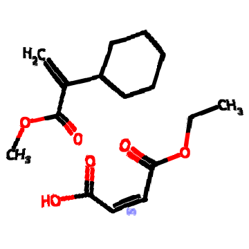 C=C(C(=O)OC)C1CCCCC1.CCOC(=O)/C=C\C(=O)O